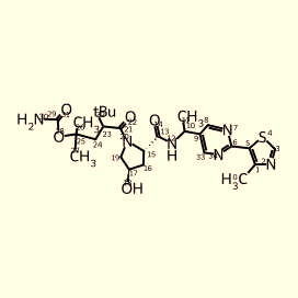 Cc1ncsc1-c1ncc(C(C)NC(=O)[C@@H]2C[C@@H](O)CN2C(=O)C(CC(C)(C)OC(N)=O)C(C)(C)C)cn1